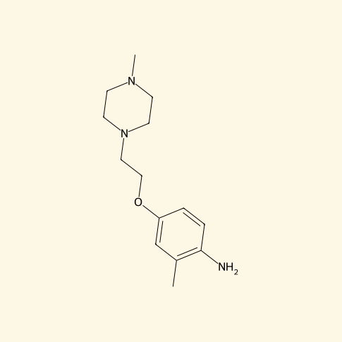 Cc1cc(OCCN2CCN(C)CC2)ccc1N